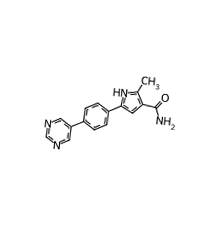 Cc1[nH]c(-c2ccc(-c3cncnc3)cc2)cc1C(N)=O